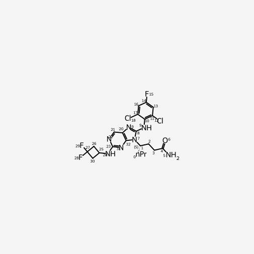 CCC[C@@H](CCC(N)=O)n1c(Nc2c(Cl)cc(F)cc2Cl)nc2cnc(NC3CC(F)(F)C3)nc21